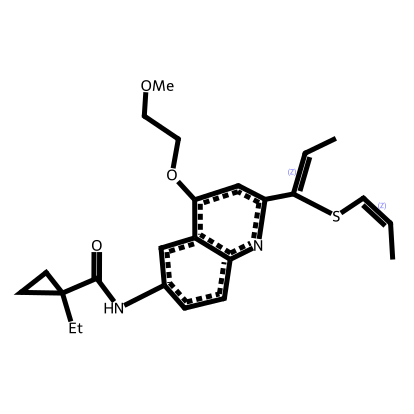 C/C=C\S/C(=C\C)c1cc(OCCOC)c2cc(NC(=O)C3(CC)CC3)ccc2n1